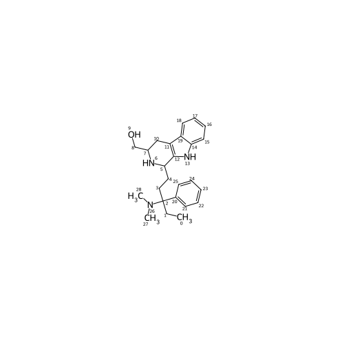 CCC(CCC1NC(CO)Cc2c1[nH]c1ccccc21)(c1ccccc1)N(C)C